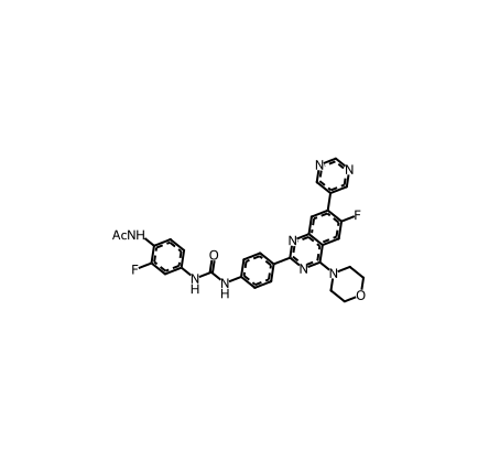 CC(=O)Nc1ccc(NC(=O)Nc2ccc(-c3nc(N4CCOCC4)c4cc(F)c(-c5cncnc5)cc4n3)cc2)cc1F